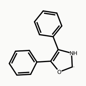 [CH]1NC(c2ccccc2)=C(c2ccccc2)O1